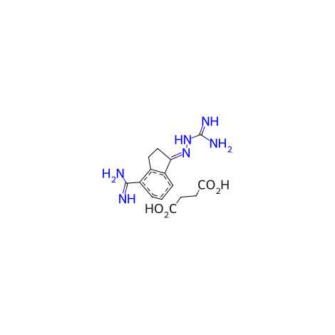 N=C(N)NN=C1CCc2c(C(=N)N)cccc21.O=C(O)CCC(=O)O